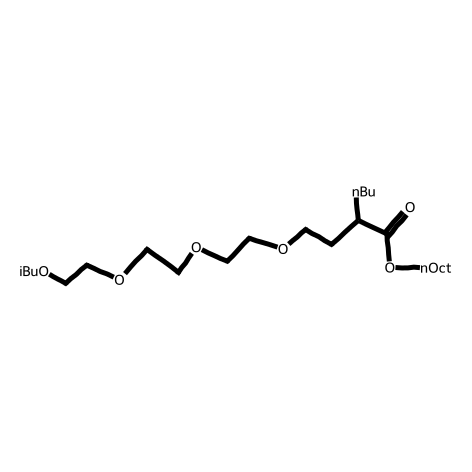 CCCCCCCCOC(=O)C(CCCC)CCOCCOCCOCCOCC(C)C